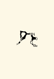 CC(=O)N1CCCC(NC(=O)OC(C)(C)C)C1